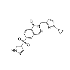 O=c1c2ccc(S(=O)(=O)c3cn[nH]c3)cc2cnn1Cc1ccn(C2CC2)n1